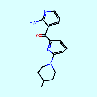 CC1CCN(c2cccc(C(=O)c3cccnc3N)n2)CC1